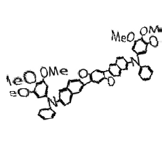 COc1cc(N(c2ccccc2)c2ccc3cc4c(cc3c2)oc2cc3c(cc24)oc2cc4cc(N(c5ccccc5)c5cc(OC)c(OC)c(OC)c5)ccc4cc23)cc(OC)c1OC